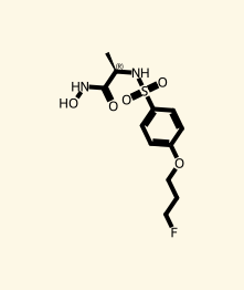 C[C@@H](NS(=O)(=O)c1ccc(OCCCF)cc1)C(=O)NO